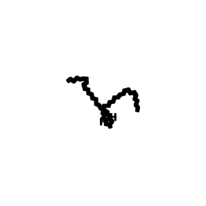 CCCCC/C=C\C/C=C\CCCCCCCCC1(CCCCCCCC/C=C\C/C=C\CCCCC)CC2(C[C@H]3CC(C)C[C@H]3C2)C1